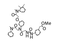 COC(=O)Cc1cccc(NC(=O)NCC(=O)N(CC(=O)N(C)c2ccccc2)c2cccc(OCC(=O)N(C)c3cccc(C)c3C)c2)c1